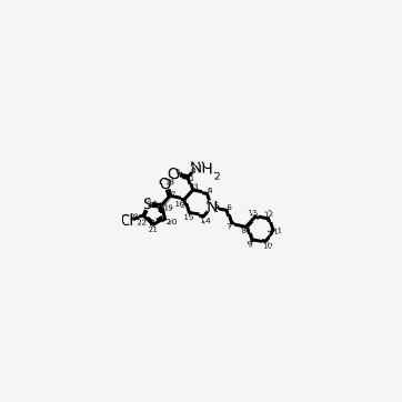 NC(=O)C1CN(CCC2CC[CH]CC2)CCC1C(=O)c1ccc(Cl)s1